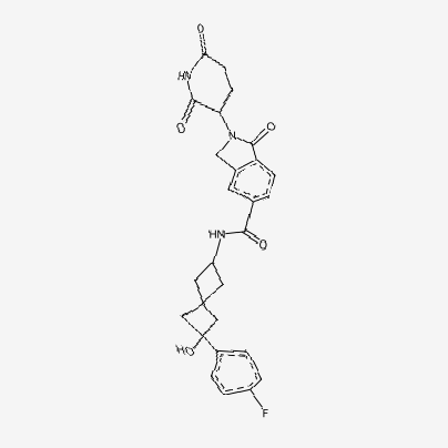 O=C1CCC(N2Cc3cc(C(=O)NC4CC5(C4)CC(O)(c4ccc(F)cc4)C5)ccc3C2=O)C(=O)N1